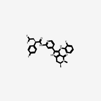 C[C@H]1Cc2[nH]c(-c3ccnc(NC(=O)[C@H](CC(F)F)c4ccc(F)cc4)c3)c(Nc3ccccc3F)c2C(=O)N1C